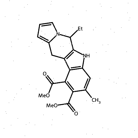 CCC1c2[nH]c3cc(C)c(C(=O)OC)c(C(=O)OC)c3c2Cc2cccn21